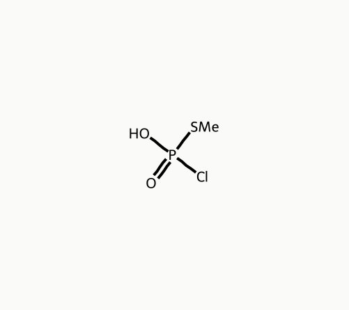 CSP(=O)(O)Cl